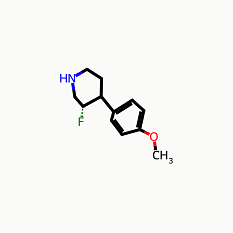 COc1ccc(C2CCNC[C@H]2F)cc1